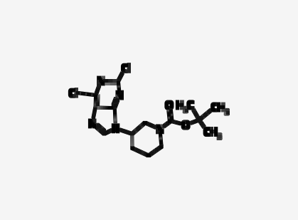 CC(C)(C)OC(=O)N1CCCC(n2cnc3c(Cl)nc(Cl)nc32)C1